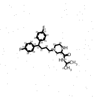 CC(C)NC(=O)C1CN(CCCC(c2ccc(F)cc2)c2ccc(F)cc2)CCN1